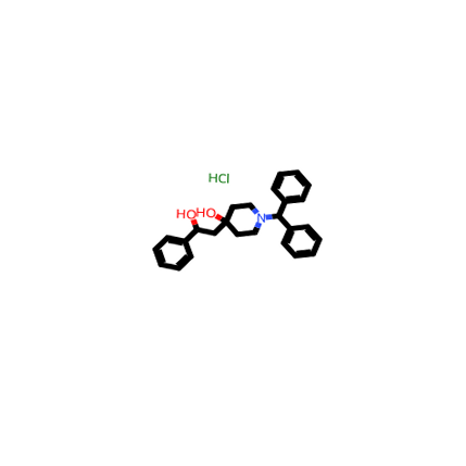 Cl.OC(CC1(O)CCN(C(c2ccccc2)c2ccccc2)CC1)c1ccccc1